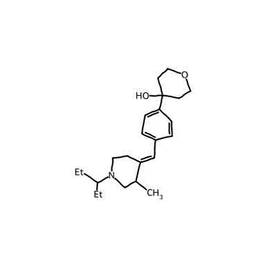 CCC(CC)N1CC/C(=C\c2ccc(C3(O)CCOCC3)cc2)C(C)C1